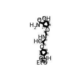 CCS(=O)(=O)Nc1ccc(OCC(O)CNCCOc2ccc(O)c(C(N)=O)c2)cc1